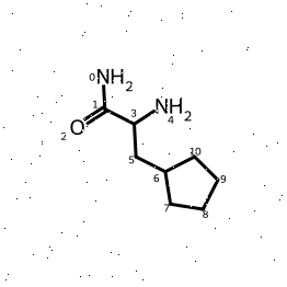 NC(=O)C(N)CC1CCCC1